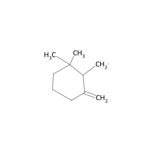 [CH2]C1C(=C)CCCC1(C)C